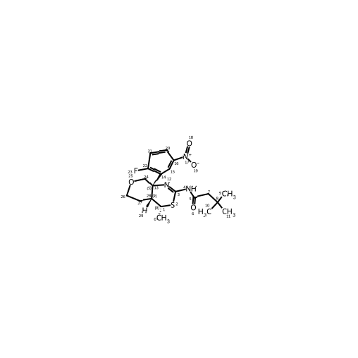 C[C@H]1SC(NC(=O)CC(C)(C)C)=N[C@@]2(c3cc([N+](=O)[O-])ccc3F)COCC[C@@H]12